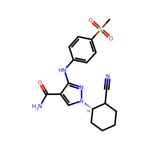 CS(=O)(=O)c1ccc(Nc2nn([C@H]3CCCCC3C#N)cc2C(N)=O)cc1